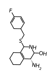 N[C@@H]1C2=C(CCCC2)C(SCC2C=CC(F)=CC2)NC1O